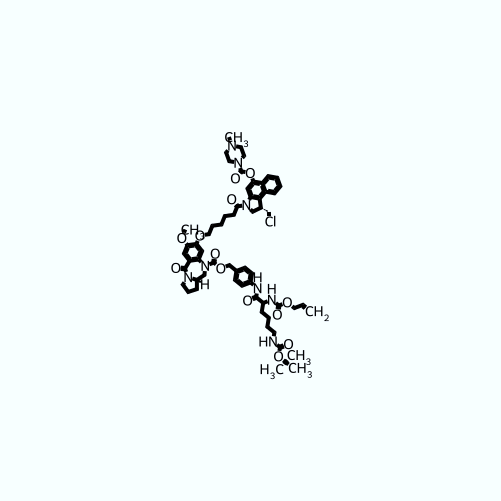 C=CCOC(=O)NC(CCCCNC(=O)OC(C)(C)C)C(=O)Nc1ccc(COC(=O)N2C[C@@H]3CCCN3C(=O)c3cc(OC)c(OCCCCCC(=O)N4C[C@@H](CCl)c5c4cc(OC(=O)N4CCN(C)CC4)c4ccccc54)cc32)cc1